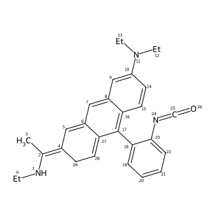 CCNC(C)=C1C=c2cc3cc(N(CC)CC)ccc3c(-c3ccccc3N=C=O)c2=CC1